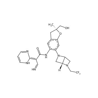 C[C@@]1(CO)Cc2cc(NC(=O)/C(C=N)=C3\N=CC=CN3)c(N3C[C@@H]4C3CN4CC(F)(F)F)cc2O1